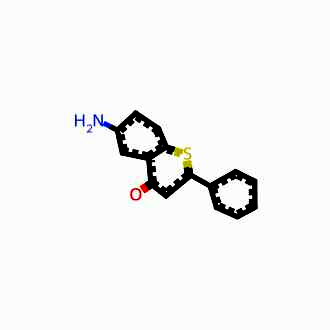 Nc1ccc2sc(-c3ccccc3)cc(=O)c2c1